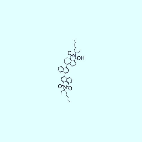 CCCCCC(CC)N1C(=O)c2cccc3c(-c4ccc(C5=c6cccc7c6=C(CC=C5)C(=O)N(C(CC)CCCCC)[C@H]7O)c5ccccc45)ccc(c23)C1=O